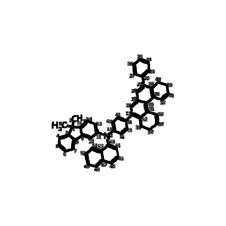 CC1(C)c2ccccc2-c2cc(N(c3ccc(-c4cc5cc(-c6ccccc6)c6c(c5c5c4CCC=C5)C=CCC6)cc3)c3cccc4ccccc34)ccc21